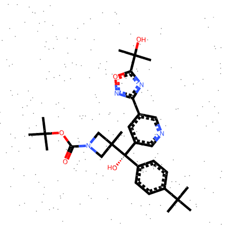 CC(C)(C)OC(=O)N1CC(C)([C@](O)(c2ccc(C(C)(C)C)cc2)c2cncc(-c3noc(C(C)(C)O)n3)c2)C1